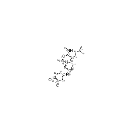 CNC(=O)N(CCN(C)C)c1cnc(Nc2ccc(Cl)c(Cl)c2)nc1NC